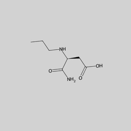 CCCN[C@@H](CC(=O)O)C(N)=O